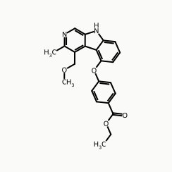 CCOC(=O)c1ccc(Oc2cccc3[nH]c4cnc(C)c(COC)c4c23)cc1